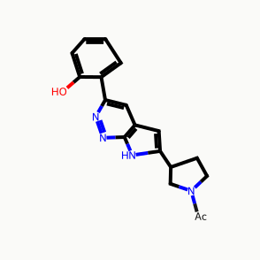 CC(=O)N1CCC(c2cc3cc(-c4ccccc4O)nnc3[nH]2)C1